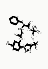 CC(C)(C)OC(=O)[C@H](Cc1ccccc1)NCC(=O)Nc1cc(Cl)ccc1-n1cc(C(F)(F)F)nn1